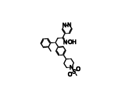 Cc1ccccc1C(CC(=NO)c1ccnnc1)c1ccc(C2CCN(S(C)(=O)=O)CC2)cc1